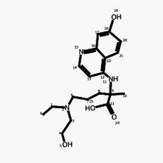 CCN(CCO)CCCC(C)(Nc1ccnc2cc(O)ccc12)C(=O)O